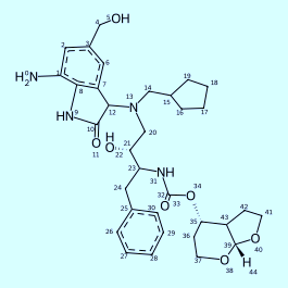 Nc1cc(CO)cc2c1NC(=O)C2N(CC1CCCC1)C[C@@H](O)C(Cc1ccccc1)NC(=O)O[C@H]1CCO[C@H]2OCCC21